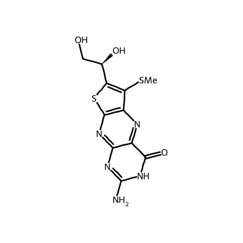 CSc1c([C@H](O)CO)sc2nc3nc(N)[nH]c(=O)c3nc12